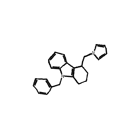 c1ccc(Cn2c3c(c4ccccc42)C(Cn2cccc2)CCC3)cc1